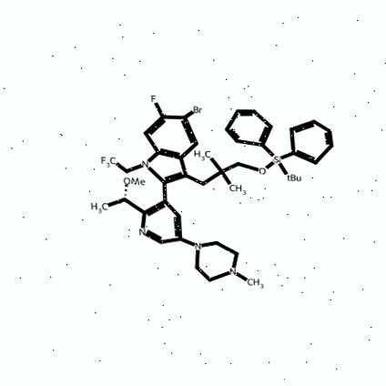 CO[C@@H](C)c1ncc(N2CCN(C)CC2)cc1-c1c(CC(C)(C)CO[Si](c2ccccc2)(c2ccccc2)C(C)(C)C)c2cc(Br)c(F)cc2n1CC(F)(F)F